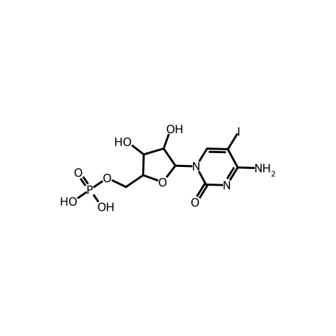 Nc1nc(=O)n(C2OC(COP(=O)(O)O)C(O)C2O)cc1I